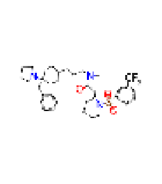 CN(CCCC1CCC(Cc2ccccc2)(N2CCCC2)CC1)C(=O)CC1CCCCN1S(=O)(=O)c1cccc(C(F)(F)F)c1